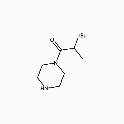 CCCCC(C)C(=O)N1CCNCC1